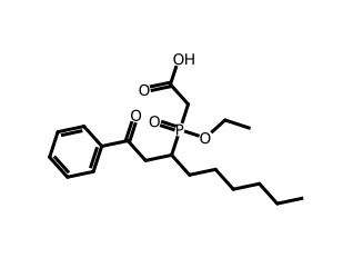 CCCCCCC(CC(=O)c1ccccc1)P(=O)(CC(=O)O)OCC